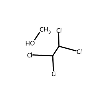 CO.ClC(Cl)C(Cl)Cl